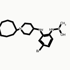 CB(O)Nc1ccc(Br)cc1NC1CCN(C2CCCCCCC2)CC1